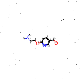 CN(C)CCOc1ccc(C=O)cn1